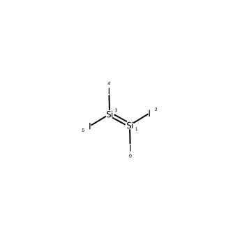 I[Si](I)=[Si](I)I